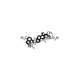 C[C@H]1C(O[C@@H]2CC[C@@]3(C)C(CCC4C3C[C@H](O)[C@@]3(C)C4CC[C@@H]3[C@H](C)CCC(=O)O)C2)OC2O[C@@]3(C)CCC4[C@H](C)CCC1C24O3